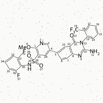 COc1ncc(-c2ccc3nc(N)n(-c4ccccc4C(F)(F)F)c(=O)c3c2)cc1S(=O)(=O)Nc1c(F)cccc1F